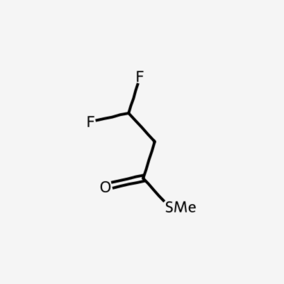 CSC(=O)CC(F)F